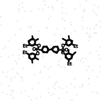 CCc1cc(C)c(C)c(OP(=O)(Oc2cc(CC)cc(C)c2C)c2ccc(-c3ccc(P(=O)(Oc4cc(CC)cc(C)c4C)Oc4cc(CC)cc(C)c4C)cc3)cc2)c1